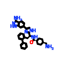 NC[C@H]1CC[C@H](C(=O)N[C@@H](Cc2ccccc2-c2ccccc2)c2nc(-c3ccc4c(N)n[nH]c4c3)c[nH]2)CC1